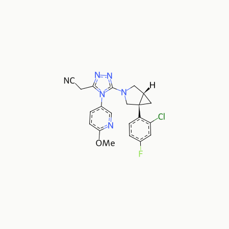 COc1ccc(-n2c(CC#N)nnc2N2C[C@@H]3C[C@]3(c3ccc(F)cc3Cl)C2)cn1